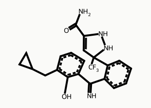 N=C(c1ccccc1C1(C(F)(F)F)C=C(C(N)=O)NN1)c1cccc(CC2CC2)c1O